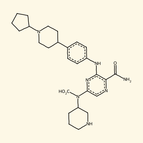 NC(=O)c1ncc(N(C(=O)O)C2CCCNC2)nc1Nc1ccc(C2CCN(C3CCCC3)CC2)cc1